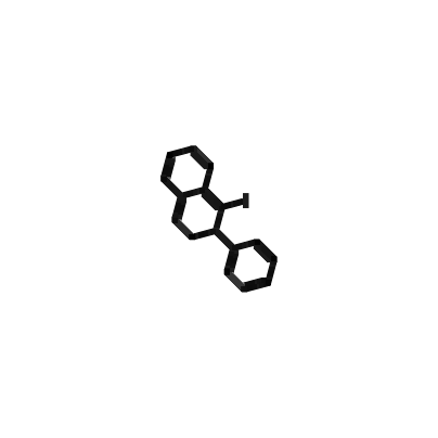 IC1=c2ccccc2=CCC1c1ccccc1